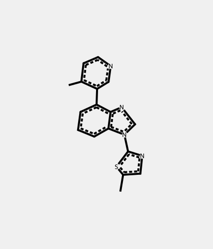 Cc1cnc(-n2cnc3c(-c4cnccc4C)cccc32)s1